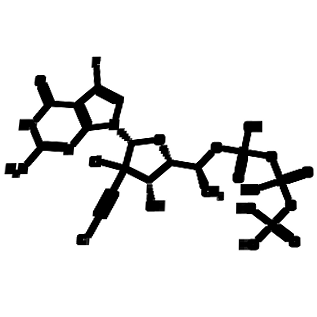 C[C@H](OP(=O)(O)OP(=O)(O)OP(=O)(O)O)[C@H]1O[C@@H](n2cc(F)c3c(=O)[nH]c(N)nc32)C(Cl)(C#CCl)[C@H]1O